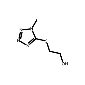 Cn1nnnc1SCCO